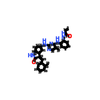 C=CC(=O)Nc1ccccc1Nc1nc(Nc2ccc3c(c2)C(=Cc2ccccc2C)C(=O)N3)ncc1C